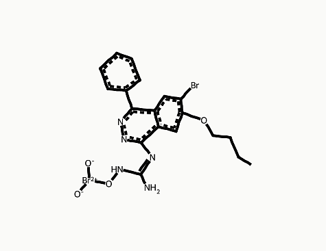 CCCCOc1cc2c(N=C(N)NO[Br+2]([O-])[O-])nnc(-c3ccccc3)c2cc1Br